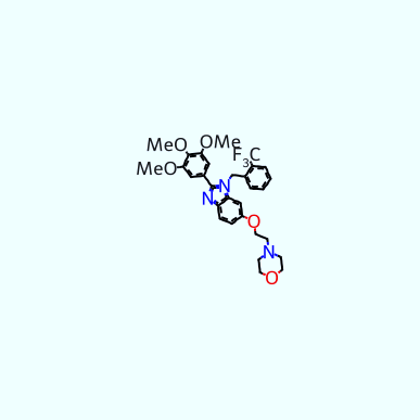 COc1cc(-c2nc3ccc(OCCN4CCOCC4)cc3n2Cc2ccccc2C(F)(F)F)cc(OC)c1OC